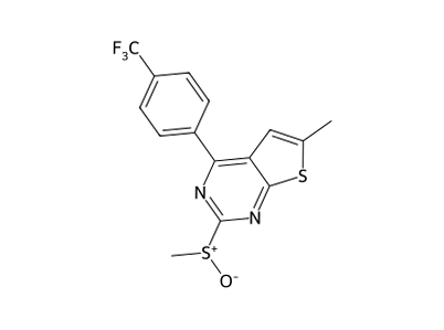 Cc1cc2c(-c3ccc(C(F)(F)F)cc3)nc([S+](C)[O-])nc2s1